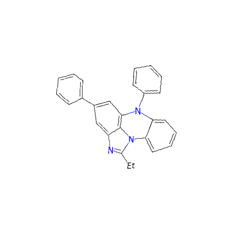 CCc1nc2cc(-c3ccccc3)cc3c2n1-c1ccccc1N3c1ccccc1